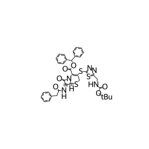 CC(C)(C)OC(=O)NCc1nnc(SC2=C(C(=O)OC(c3ccccc3)c3ccccc3)N3C(=O)[C@@H](NC(=O)Cc4ccccc4)[C@@H]3SC2)s1